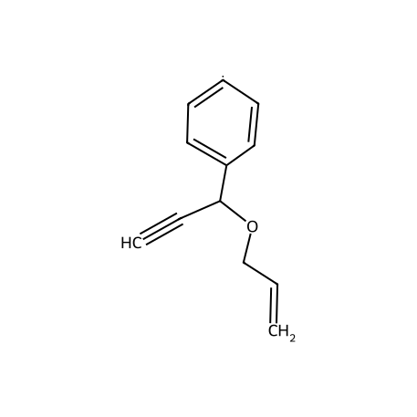 C#CC(OCC=C)c1cc[c]cc1